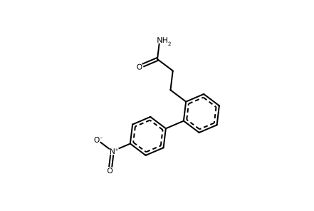 NC(=O)CCc1ccccc1-c1ccc([N+](=O)[O-])cc1